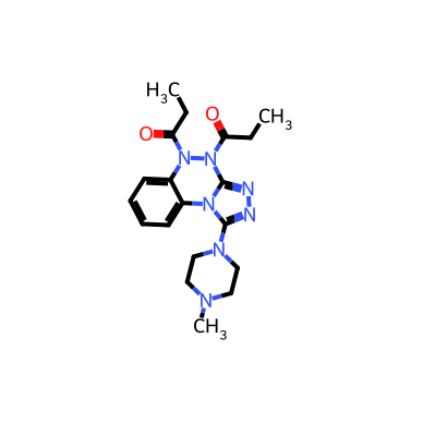 CCC(=O)N1c2ccccc2-n2c(N3CCN(C)CC3)nnc2N1C(=O)CC